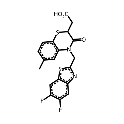 Cc1ccc2c(c1)N(Cc1nc3cc(F)c(F)cc3s1)C(=O)C(CC(=O)O)S2